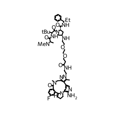 CC[C@H](NC(=O)[C@H]1C[C@@H](NCCOCCOCCC(=O)NCCn2nc3c(c2C)-c2cnc(N)c(c2)N2CCC[C@@H]2c2cc(F)ccc2C(=O)N(C)C3)CN1C(=O)C(NC(=O)[C@@H](C)NC)C(C)(C)C)c1ccccc1